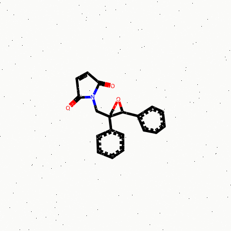 O=C1C=CC(=O)N1CC1(c2ccccc2)OC1c1ccccc1